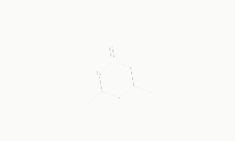 CC1CC(C)NS(=S)C1